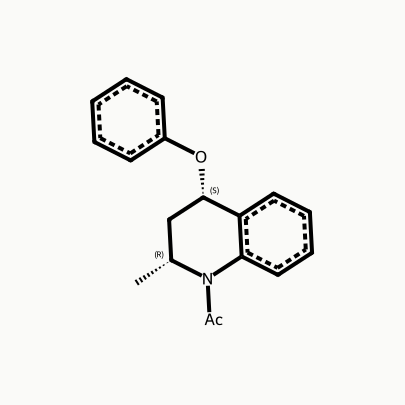 CC(=O)N1c2ccccc2[C@@H](Oc2ccccc2)C[C@H]1C